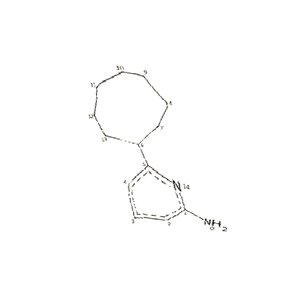 Nc1cccc(C2CCCCCCC2)n1